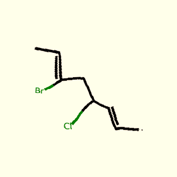 [CH2]C=CC(Cl)CC(Br)=CC